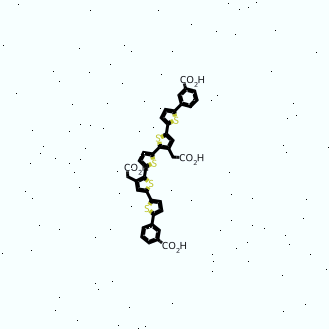 O=C(O)Cc1cc(-c2ccc(-c3cccc(C(=O)O)c3)s2)sc1-c1ccc(-c2sc(-c3ccc(-c4cccc(C(=O)O)c4)s3)cc2CC(=O)O)s1